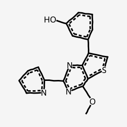 COc1nc(-c2ccccn2)nc2c(-c3cccc(O)c3)csc12